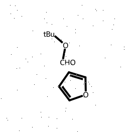 CC(C)(C)OC=O.c1ccoc1